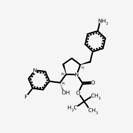 CC(C)(C)OC(=O)N1[C@H](Cc2ccc(N)cc2)CC[C@@H]1[C@H](O)c1cncc(F)c1